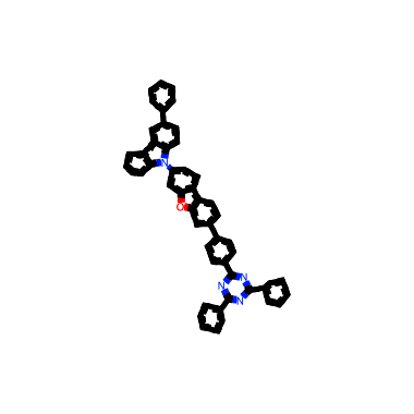 c1ccc(-c2ccc3c(c2)c2ccccc2n3-c2ccc3c(c2)oc2cc(-c4ccc(-c5nc(-c6ccccc6)nc(-c6ccccc6)n5)cc4)ccc23)cc1